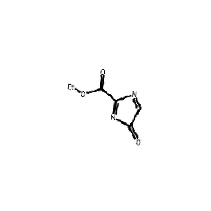 CCOC(=O)C1=NC(=O)C=N1